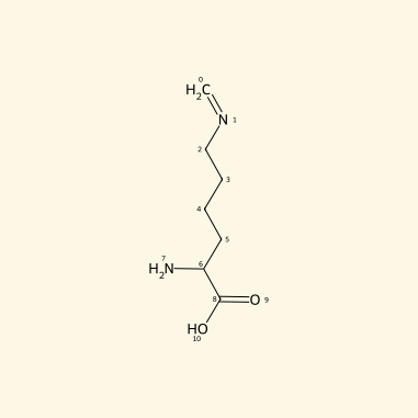 C=NCCCCC(N)C(=O)O